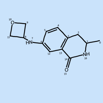 CC1Cc2ccc(NC3COC3)cc2C(=O)N1